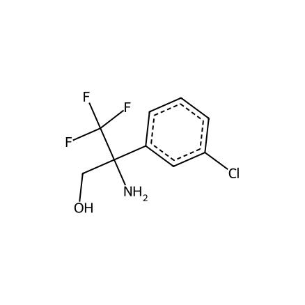 NC(CO)(c1cccc(Cl)c1)C(F)(F)F